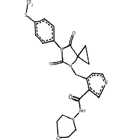 O=C(NN1CCOCC1)c1cnccc1CN1C(=O)N(c2ccc(SC(F)(F)F)cc2)C(=O)C12CC2